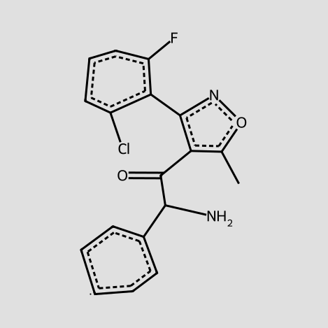 Cc1onc(-c2c(F)cccc2Cl)c1C(=O)C(N)c1cc[c]cc1